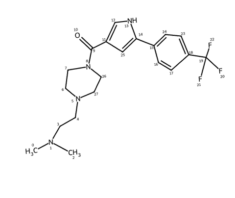 CN(C)CCN1CCN(C(=O)c2c[nH]c(-c3ccc(C(F)(F)F)cc3)c2)CC1